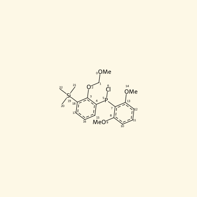 COCOc1c(P(Cl)c2c(OC)cccc2OC)cccc1[Si](C)(C)C